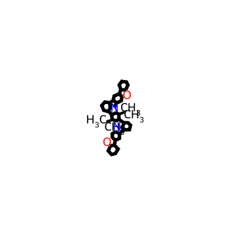 CC(C)c1c2c3cccc4c5cc6c(cc5n(c2c(C(C)C)c2c5cccc7c8cc9c(cc8n(c12)c75)oc1ccccc19)c43)oc1ccccc16